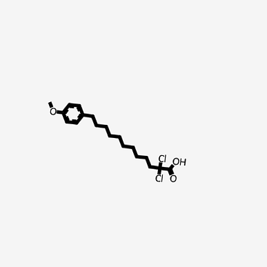 COc1ccc(CCCCCCCCCCC(Cl)(Cl)C(=O)O)cc1